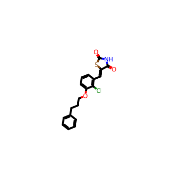 O=C1NC(=O)/C(=C/c2cccc(OCCCc3ccccc3)c2Cl)S1